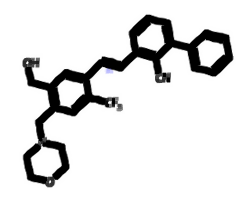 N#Cc1c(/C=C/c2cc(CO)c(CN3CCOCC3)cc2C(F)(F)F)cccc1-c1ccccc1